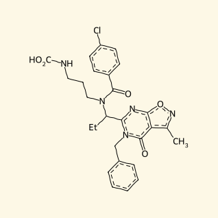 CCC(c1nc2onc(C)c2c(=O)n1Cc1ccccc1)N(CCCNC(=O)O)C(=O)c1ccc(Cl)cc1